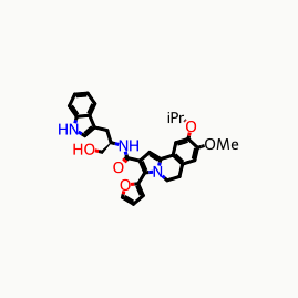 COc1cc2c(cc1OC(C)C)-c1cc(C(=O)N[C@@H](CO)Cc3c[nH]c4ccccc34)c(-c3ccco3)n1CC2